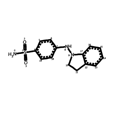 NS(=O)(=O)c1ccc(NN2CCc3ccccc32)cc1